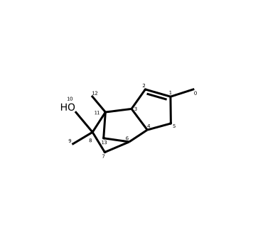 CC1=CC2C(C1)C1CC(C)(O)C2(C)C1